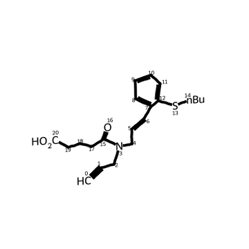 C#CCN(C/C=C/c1ccccc1SCCCC)C(=O)CCCC(=O)O